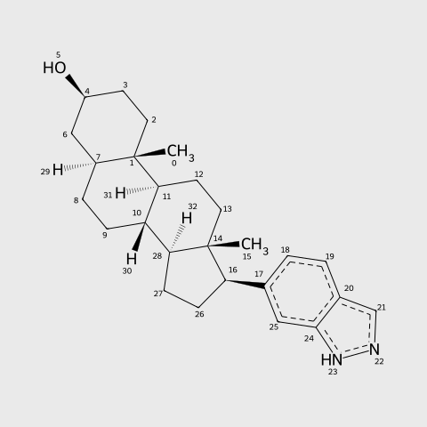 C[C@]12CC[C@H](O)C[C@@H]1CC[C@@H]1[C@@H]2CC[C@]2(C)[C@@H](c3ccc4cn[nH]c4c3)CC[C@@H]12